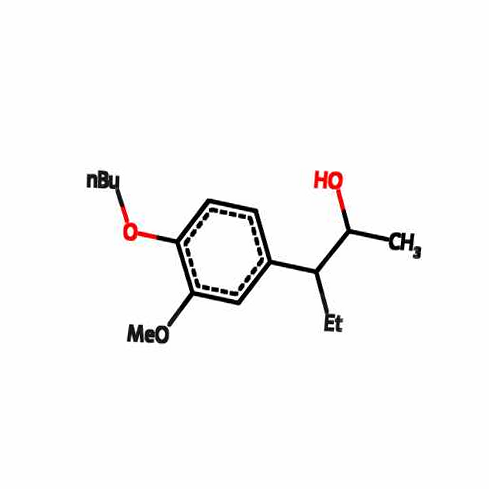 CCCCOc1ccc(C(CC)C(C)O)cc1OC